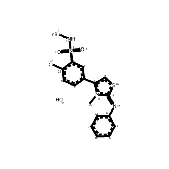 CCCCNS(=O)(=O)c1cc(-c2csc(=Nc3ccccc3)n2C)ccc1Cl.Cl